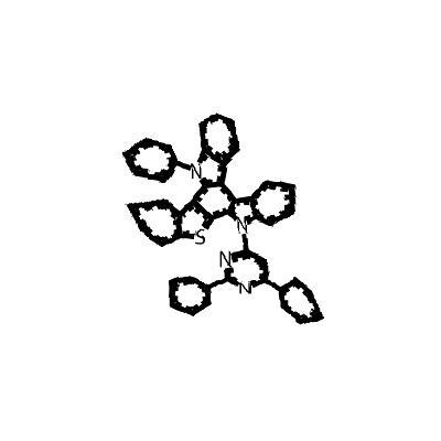 c1ccc(-c2cc(-n3c4ccccc4c4c5c6ccccc6n(-c6ccccc6)c5c5c6ccccc6sc5c43)nc(-c3ccccc3)n2)cc1